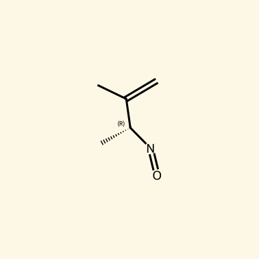 C=C(C)[C@@H](C)N=O